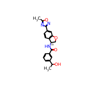 Cc1nc(-c2ccc3c(c2)OC[C@H]3NC(=O)c2cccc(C(C)O)c2)no1